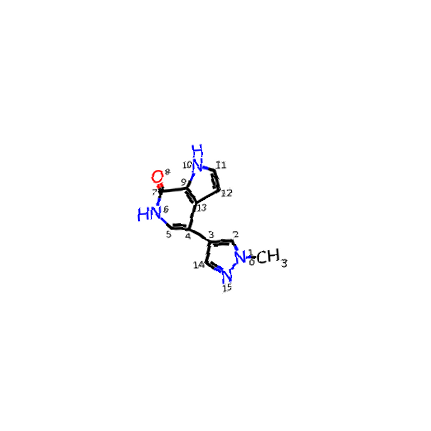 Cn1cc(-c2c[nH]c(=O)c3[nH]ccc23)cn1